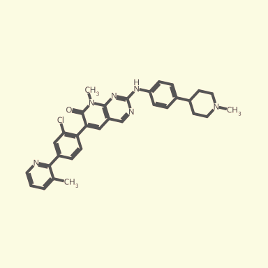 Cc1cccnc1-c1ccc(-c2cc3cnc(Nc4ccc(C5CCN(C)CC5)cc4)nc3n(C)c2=O)c(Cl)c1